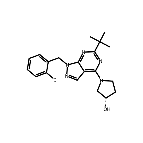 CC(C)(C)c1nc(N2CC[C@H](O)C2)c2cnn(Cc3ccccc3Cl)c2n1